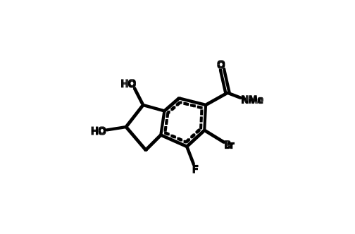 CNC(=O)c1cc2c(c(F)c1Br)CC(O)C2O